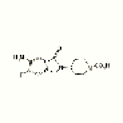 Nc1cc2c(cc1F)CN(C1CCN(C(=O)O)CC1)C2=O